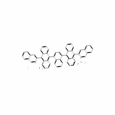 C[Si](C)(C)c1cc2ccccc2cc1-c1c2ccccc2c(-c2ccc(-c3c4ccccc4c(-c4cc5ccccc5cc4[Si](C)(C)C)c4ccccc34)c3ccccc23)c2ccccc12